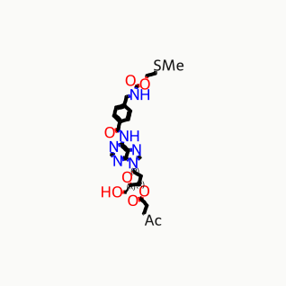 CSCCOC(=O)NCc1ccc(C(=O)Nc2ncnc3c2ncn3[C@H]2C[C@@H](OC(=O)CCC(C)=O)[C@@H](CO)O2)cc1